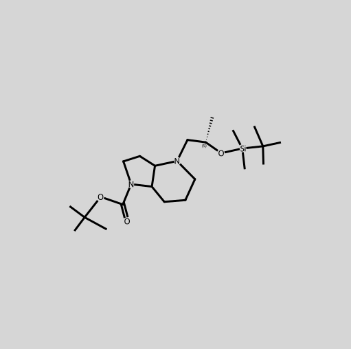 C[C@@H](CN1CCCC2C1CCN2C(=O)OC(C)(C)C)O[Si](C)(C)C(C)(C)C